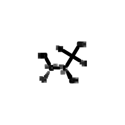 [2H][13C@H](O)[13C@H](O)C([2H])([2H])O